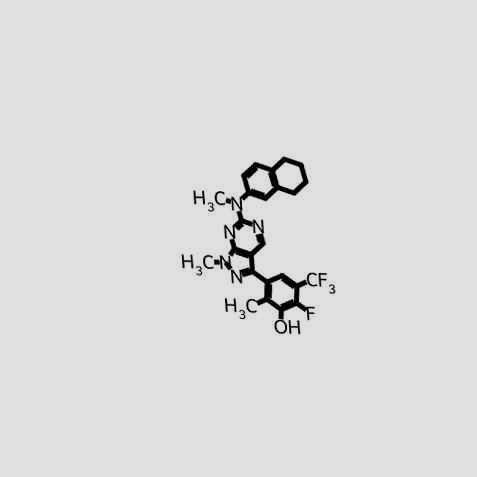 Cc1c(-c2nn(C)c3nc(N(C)c4ccc5c(c4)CCCC5)ncc23)cc(C(F)(F)F)c(F)c1O